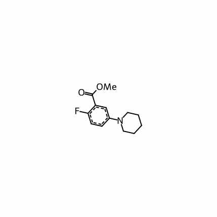 COC(=O)c1cc(N2CCCCC2)ccc1F